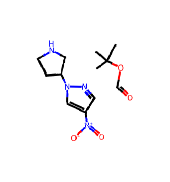 CC(C)(C)OC=O.O=[N+]([O-])c1cnn(C2CCNC2)c1